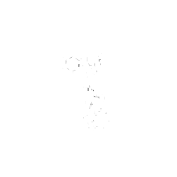 COC(=O)C1(c2ccccc2)CCN(C(=O)OC2C3CC4CC(C3)CC2C4)CC1